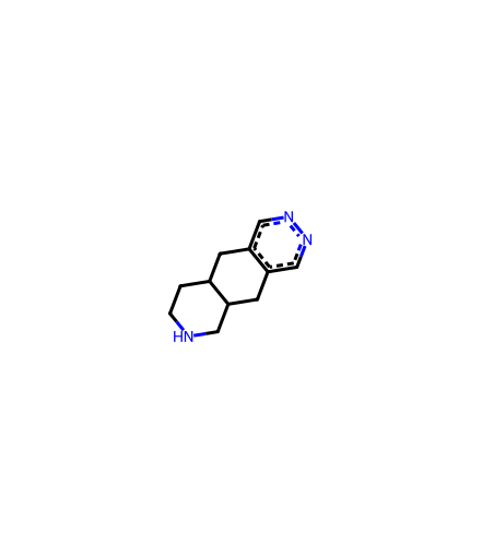 c1nncc2c1CC1CCNCC1C2